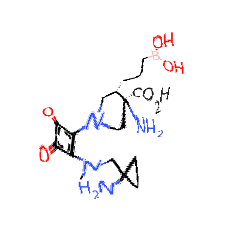 CN(CC1(N)CC1)c1c(N2C[C@H](CCCB(O)O)[C@](N)(C(=O)O)C2)c(=O)c1=O